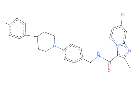 Cc1nc2cc(Cl)ccn2c1C(=O)NCc1ccc(N2CCC(c3ccc(F)cc3)CC2)cc1